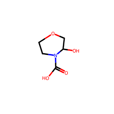 O=C(O)N1CCOCC1O